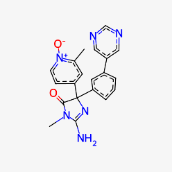 Cc1cc(C2(c3cccc(-c4cncnc4)c3)N=C(N)N(C)C2=O)cc[n+]1[O-]